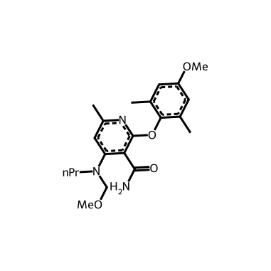 CCCN(COC)c1cc(C)nc(Oc2c(C)cc(OC)cc2C)c1C(N)=O